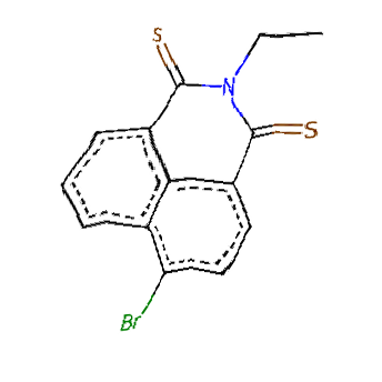 CCN1C(=S)c2cccc3c(Br)ccc(c23)C1=S